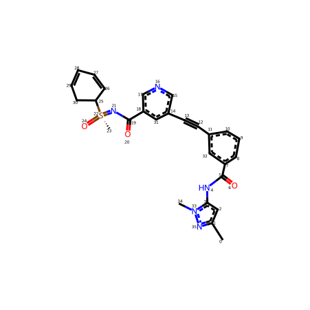 Cc1cc(NC(=O)c2cccc(C#Cc3cncc(C(=O)N=[S@@](C)(=O)C4C=CC=CC4)c3)c2)n(C)n1